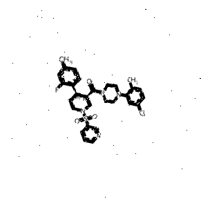 Cc1ccc([C@@H]2CCN(S(=O)(=O)c3cccnc3)C[C@@H]2C(=O)N2CCN(c3cc(Cl)ccc3C)CC2)c(F)c1